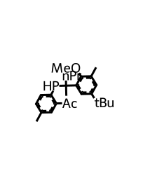 CCCC(C)(Pc1ccc(C)cc1C(C)=O)c1cc(C(C)(C)C)cc(C)c1OC